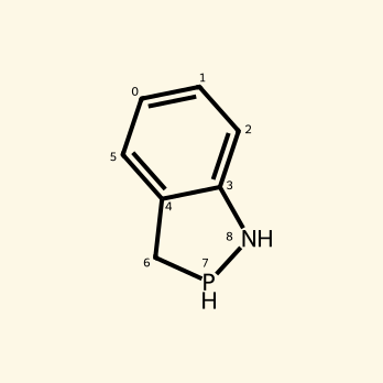 c1ccc2c(c1)CPN2